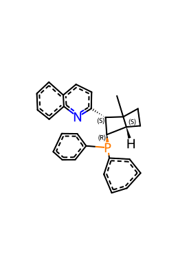 CC12CC[C@@H]1[C@@H](P(c1ccccc1)c1ccccc1)[C@@H]2c1ccc2ccccc2n1